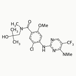 CNc1nc(Nc2cc(OC)c(C(=O)N(C)CC(C)(C)O)cc2Cl)ncc1C(F)(F)F